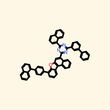 c1ccc(-c2cccc(-c3nc(-c4cccc5ccccc45)nc(-c4cc5oc6c(-c7ccc(-c8cccc9ccccc89)cc7)cccc6c5c5ccccc45)n3)c2)cc1